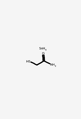 NC(=O)CS.[SnH4]